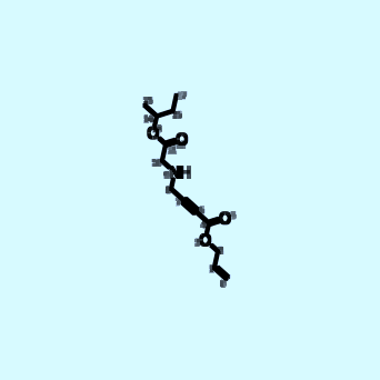 C=CCOC(=O)C#CCNCC(=O)OC(C)CC